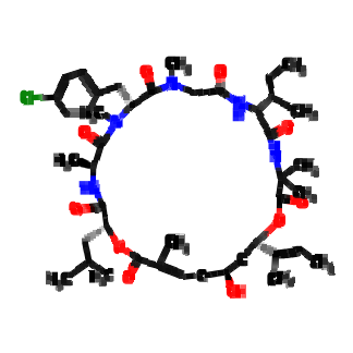 C/C=C(\C)[C@@H]1C[C@@H](O)C/C=C(\C)C(=O)O[C@H](CC(C)C)C(=O)N[C@@H](C)C(=O)N(C)[C@H](Cc2ccc(Cl)cc2)C(=O)N(C)CC(=O)NC(C(C)CC)C(=O)NC(C)(C)C(=O)O1